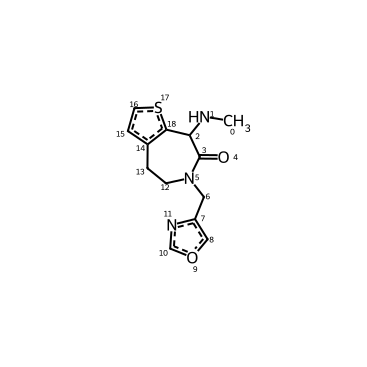 CNC1C(=O)N(Cc2cocn2)CCc2ccsc21